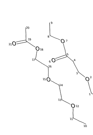 CCOCCC(=O)OCC.CCOCCOCCOC(C)=O